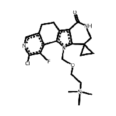 C[Si](C)(C)CCOCn1c2c(c3c1C1(CC1)CNC3=O)CCc1cnc(Cl)c(F)c1-2